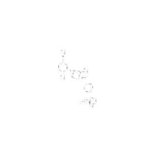 CN(Cc1cn2c(-c3ccc(-c4ccn[nH]4)cc3)cnc2cn1)c1ccc(C#N)cc1